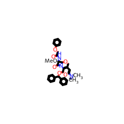 CO[C@@]1(NC(=O)COc2ccccc2)C(=O)N2C(C(=O)OC(c3ccccc3)c3ccccc3)=C(C=CN(C)C)COC21